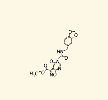 CCOC(=O)c1noc2ncn(CC(=O)NCc3ccc4c(c3)OCO4)c(=O)c12